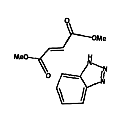 COC(=O)/C=C/C(=O)OC.c1ccc2[nH]nnc2c1